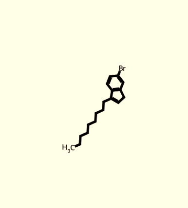 CCCCCCCCCC1=CCc2cc(Br)ccc21